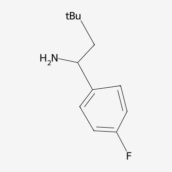 CC(C)(C)CC(N)c1ccc(F)cc1